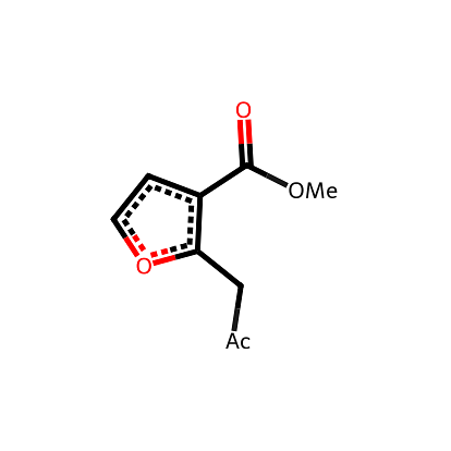 COC(=O)c1ccoc1CC(C)=O